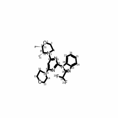 C[C@@H]1OCCN(c2cc(N3CCOCC3)nc(-n3c(C(F)F)nc4ccccc43)n2)[C@@H]1C